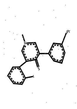 CC(C)c1cccc(-c2cn(C)cc(-c3ccccc3I)c2=S)c1